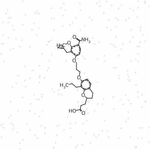 CCCc1c(OCCCOc2ccc(C(N)=O)c(OC)c2CC2CC2)ccc2c1OC(CCC(=O)O)CC2